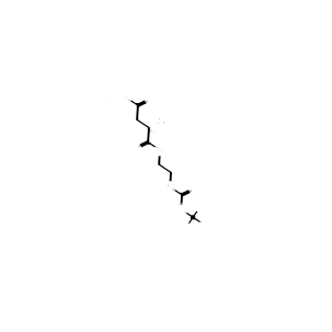 CC(C)(C)OC(=O)NCCNC(=O)[C@@H](N)CC(N)=O